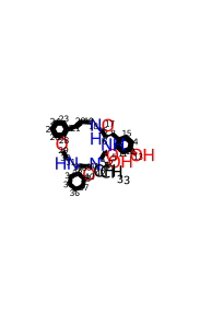 CC(O)[C@H]1C(=O)N[C@H](Cc2ccc(O)cc2)C(=O)NC/C=C/c2ccccc2OCCN[C@@H](C2CCCCC2)C(=O)N1C